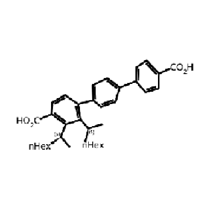 CCCCCC[C@H](C)c1c(C(=O)O)ccc(-c2ccc(-c3ccc(C(=O)O)cc3)cc2)c1[C@@H](C)CCCCCC